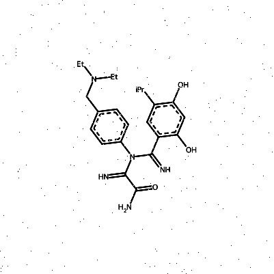 CCN(CC)Cc1ccc(N(C(=N)C(N)=O)C(=N)c2cc(C(C)C)c(O)cc2O)cc1